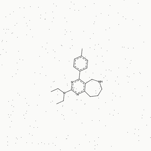 CCN(CC)c1nc2c(c(-c3ccc(C)cc3)n1)CNCCC2